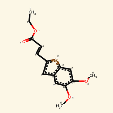 CCOC(=O)C=Cc1cc2cc(OC)c(OC)cc2s1